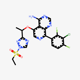 CCS(=O)(=O)n1cnc(C(C)Oc2cnc(-c3ccc(F)c(Cl)c3F)c3ncnc(N)c23)n1